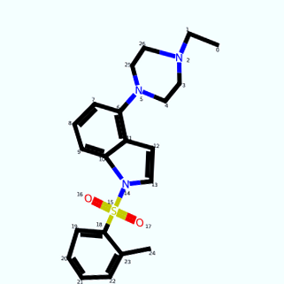 CCN1CCN(c2cccc3c2ccn3S(=O)(=O)c2ccccc2C)CC1